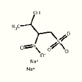 CC(O)C(CS(=O)(=O)[O-])S(=O)[O-].[Na+].[Na+]